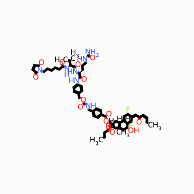 CC/C=C\C(=O)/C=C1\C[C@@]2(F)[C@@H](O)C[C@@]3(C)[C@@H](C[C@H]4OC(CCC)O[C@]43C(=O)COC(=O)c3ccc(CNC(=O)OCc4ccc(NC(=O)[C@H](CCCNC(N)=O)NC(=O)[C@@H](NC(=O)CCCCCN5C(=O)C=CC5=O)C(C)C)cc4)cc3)[C@@H]2C[C@@H]1F